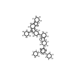 c1ccc(-c2nc(-c3ccccc3)nc(-c3ccc4c(c3)oc3c(-c5ccc6c(c5)c5c7sc8ccccc8c7ccc5n6-c5ccccc5)cccc34)n2)cc1